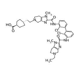 CCN1CCc2c(nc(C(=O)Nc3cccc(-c4cccc(NC(=O)c5nc6c(n5C)CCN(CC[C@H]5CC[C@H](C(=O)O)CC5)C6)c4Cl)c3Cl)n2C)C1